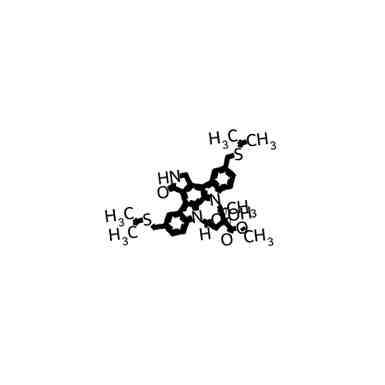 COC(=O)[C@@]1(O)C[C@H]2O[C@@]1(C)n1c3ccc(CSC(C)C)cc3c3c4c(c5c6cc(CSC(C)C)ccc6n2c5c31)C(=O)NC4